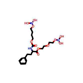 O=C(NC(CCc1ccccc1)C(=O)OCCOCCON(O)O)OCCCCON(O)O